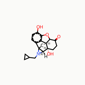 O=C1CC[C@@]2(O)[C@@H]3N(CC4CC4)C34C[C@@]23c2c4ccc(O)c2OC13